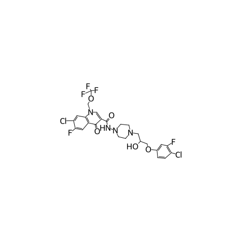 O=C(NN1CCN(CC(O)COc2ccc(Cl)c(F)c2)CC1)c1cn(COC(F)(F)F)c2cc(Cl)c(F)cc2c1=O